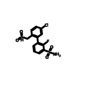 NS(=O)(=O)c1cccc(-c2cc(Cl)ccc2C[SH](=O)=O)c1F